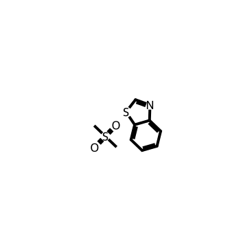 CS(C)(=O)=O.c1ccc2scnc2c1